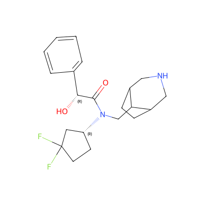 O=C([C@H](O)c1ccccc1)N(CC1C2CCC1CNC2)[C@@H]1CCC(F)(F)C1